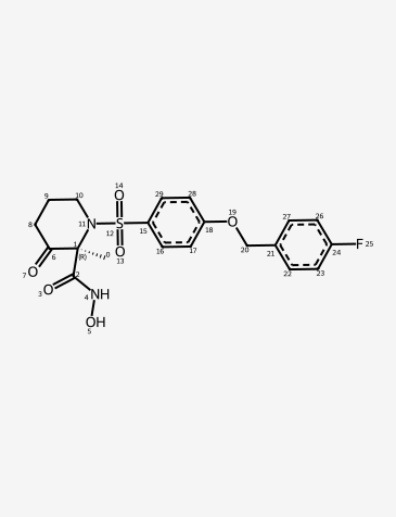 C[C@]1(C(=O)NO)C(=O)CCCN1S(=O)(=O)c1ccc(OCc2ccc(F)cc2)cc1